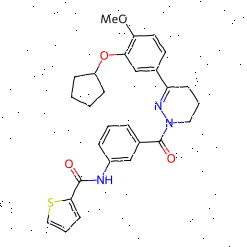 COc1ccc(C2=NN(C(=O)c3cccc(NC(=O)c4cccs4)c3)CCC2)cc1OC1CCCC1